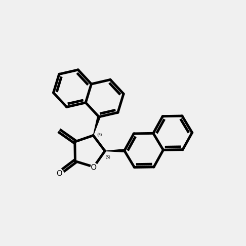 C=C1C(=O)O[C@H](c2ccc3ccccc3c2)[C@@H]1c1cccc2ccccc12